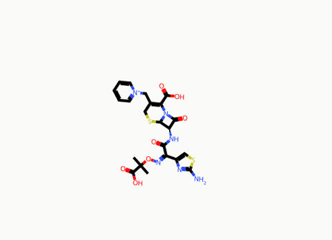 CC(C)(O/N=C(\C(=O)N[C@@H]1C(=O)N2C(C(=O)O)=C(C[n+]3ccccc3)CSC12)c1csc(N)n1)C(=O)O